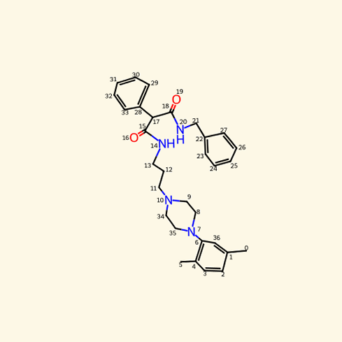 Cc1ccc(C)c(N2CCN(CCCNC(=O)C(C(=O)NCc3ccccc3)c3ccccc3)CC2)c1